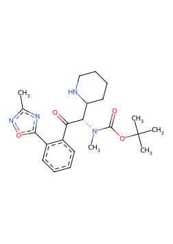 Cc1noc(-c2ccccc2C(=O)[C@H](C2CCCCN2)N(C)C(=O)OC(C)(C)C)n1